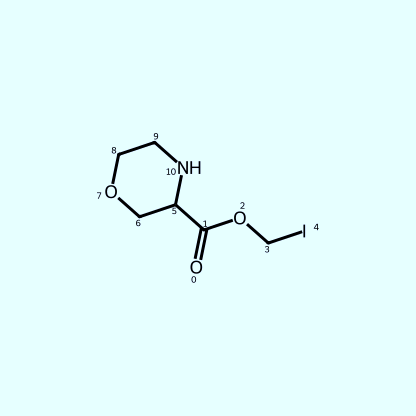 O=C(OCI)C1COCCN1